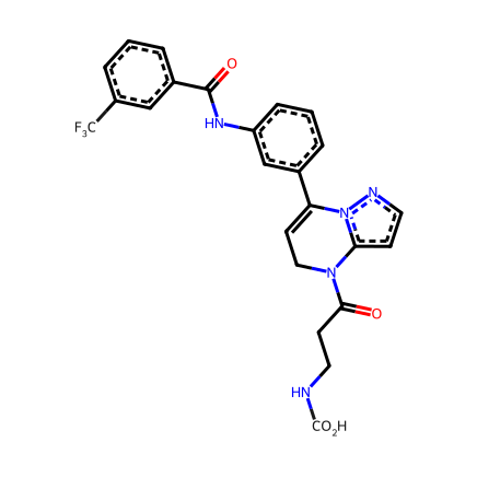 O=C(O)NCCC(=O)N1CC=C(c2cccc(NC(=O)c3cccc(C(F)(F)F)c3)c2)n2nccc21